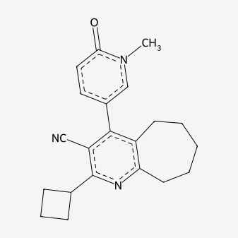 Cn1cc(-c2c(C#N)c(C3CCC3)nc3c2CCCCC3)ccc1=O